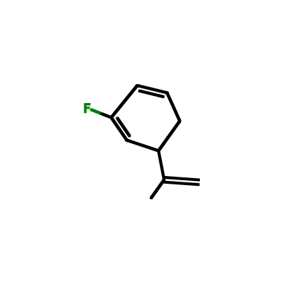 C=C(C)C1C=C(F)C=CC1